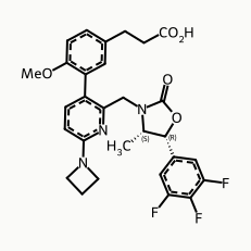 COc1ccc(CCC(=O)O)cc1-c1ccc(N2CCC2)nc1CN1C(=O)O[C@H](c2cc(F)c(F)c(F)c2)[C@@H]1C